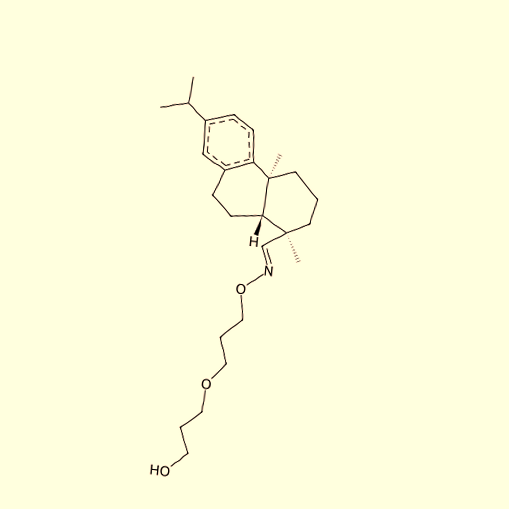 CC(C)c1ccc2c(c1)CC[C@H]1[C@](C)(/C=N/OCCCOCCCO)CCC[C@]21C